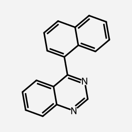 c1ccc2c(-c3ncnc4ccccc34)cccc2c1